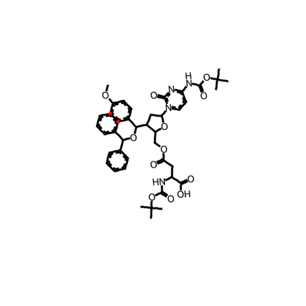 COc1ccc(C(OC(c2ccccc2)c2ccccc2)C2CC(n3ccc(NC(=O)OC(C)(C)C)nc3=O)OC2COC(=O)CC(NC(=O)OC(C)(C)C)C(=O)O)cc1